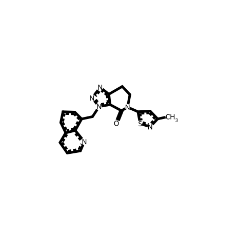 Cc1cc(N2CCc3nnn(Cc4cccc5cccnc45)c3C2=O)sn1